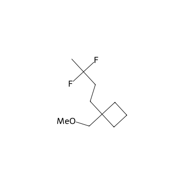 COCC1(CCC(C)(F)F)CCC1